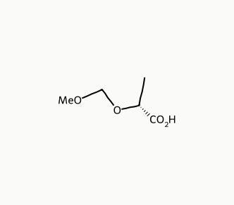 COCO[C@H](C)C(=O)O